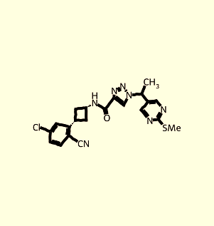 CSc1ncc(C(C)n2cc(C(=O)N[C@H]3C[C@@H](c4cc(Cl)ccc4C#N)C3)nn2)cn1